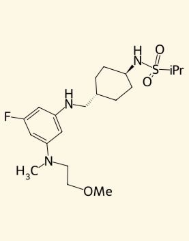 COCCN(C)c1cc(F)cc(NC[C@H]2CC[C@H](NS(=O)(=O)C(C)C)CC2)c1